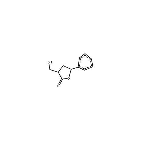 O=C1OC(c2ccccc2)CC1CS